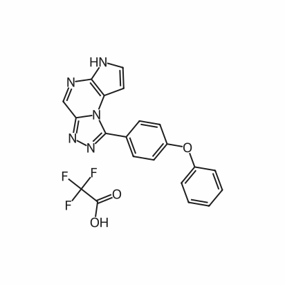 O=C(O)C(F)(F)F.c1ccc(Oc2ccc(-c3nnc4cnc5[nH]ccc5n34)cc2)cc1